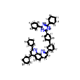 c1ccc(-c2cc(-c3ccccc3)c3ccc4ccc(-c5cccc(-c6ccc(-c7nc(-c8ccccc8)nc(-c8ccccc8)n7)cc6)c5)nc4c3n2)cc1